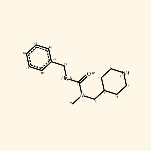 CN(CC1CCNCC1)C(=O)NCc1ccccc1